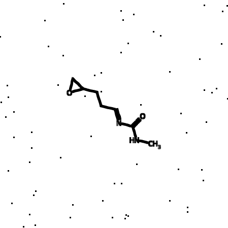 CNC(=O)N=CCCC1CO1